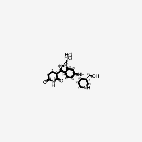 Cl.Cl.Cn1nc(C2CCC(=O)NC2=O)c2ccc(N[C@H]3CCNC[C@H]3CO)cc21